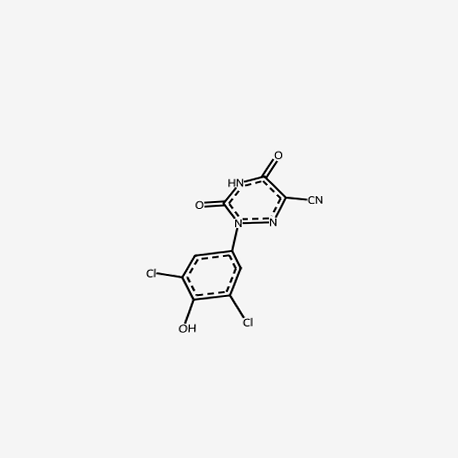 N#Cc1nn(-c2cc(Cl)c(O)c(Cl)c2)c(=O)[nH]c1=O